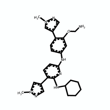 Cn1cc(-c2ccc(Nc3ccc(-c4cnn(C)c4)c(NC4CCCCC4)n3)cc2OCN)cn1